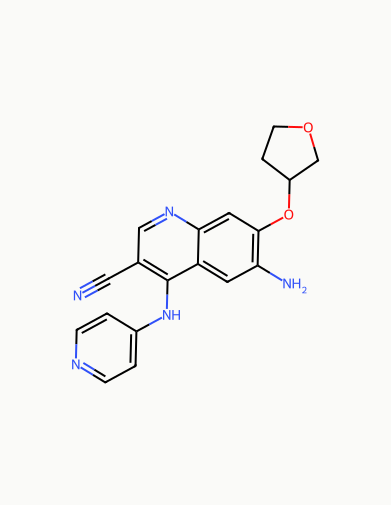 N#Cc1cnc2cc(OC3CCOC3)c(N)cc2c1Nc1ccncc1